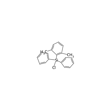 Cc1cccc(C)c1[Si](Cl)(c1ccccc1)c1ccccc1